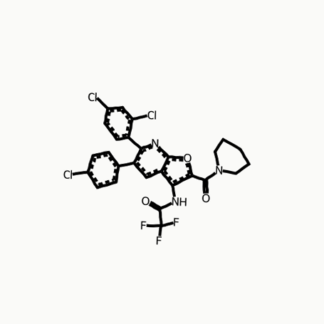 O=C(c1oc2nc(-c3ccc(Cl)cc3Cl)c(-c3ccc(Cl)cc3)cc2c1NC(=O)C(F)(F)F)N1CCCCC1